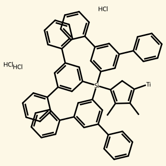 CC1=[C]([Ti])CC([Si](c2cc(-c3ccccc3)cc(-c3ccccc3)c2)(c2cc(-c3ccccc3)cc(-c3ccccc3)c2)c2cc(-c3ccccc3)cc(-c3ccccc3)c2)=C1C.Cl.Cl.Cl